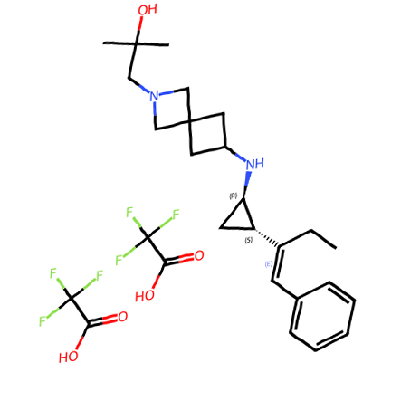 CC/C(=C\c1ccccc1)[C@@H]1C[C@H]1NC1CC2(C1)CN(CC(C)(C)O)C2.O=C(O)C(F)(F)F.O=C(O)C(F)(F)F